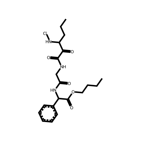 CCCCOC(=O)C(NC(=O)CNC(=O)C(=O)C(CCC)NCl)c1ccccc1